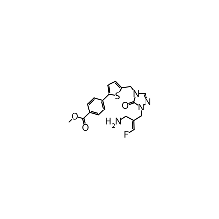 COC(=O)c1ccc(-c2ccc(Cn3cnn(C/C(=C/F)CN)c3=O)s2)cc1